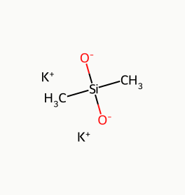 C[Si](C)([O-])[O-].[K+].[K+]